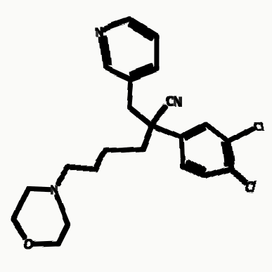 N#CC(CCCCN1CCOCC1)(Cc1cccnc1)c1ccc(Cl)c(Cl)c1